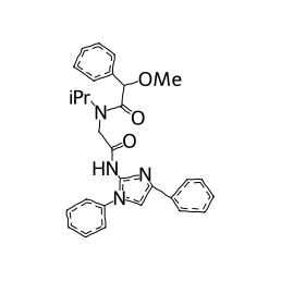 COC(C(=O)N(CC(=O)Nc1nc(-c2ccccc2)cn1-c1ccccc1)C(C)C)c1ccccc1